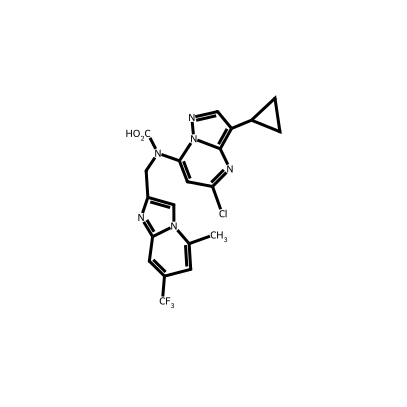 Cc1cc(C(F)(F)F)cc2nc(CN(C(=O)O)c3cc(Cl)nc4c(C5CC5)cnn34)cn12